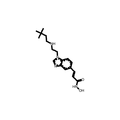 CC(C)(C)CCNCCn1cnc2cc(C=CC(=O)NO)ccc21